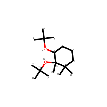 CC(C)(C)OC1CCCC(C)(C)C1(C)OC(C)(C)C